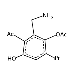 CC(=O)Oc1c(C(C)C)cc(O)c(C(C)=O)c1CN